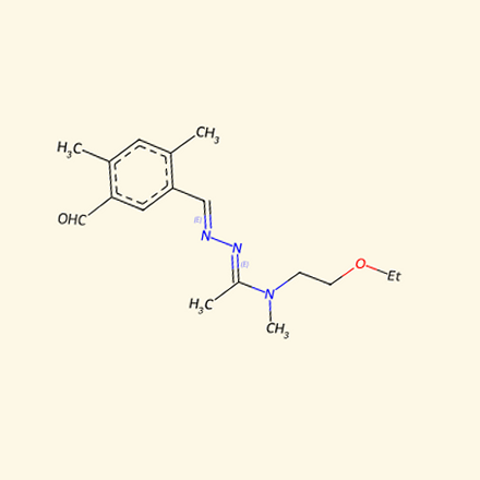 CCOCCN(C)/C(C)=N/N=C/c1cc(C=O)c(C)cc1C